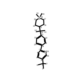 CC(C)(C)c1ccc(-c2ccc(C(C)(C)C3CCS(C)(C)CC3)cc2)nc1